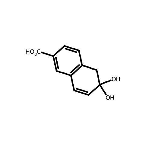 O=C(O)c1ccc2c(c1)C=CC(O)(O)C2